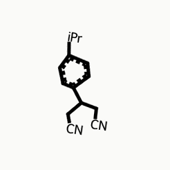 CC(C)c1ccc(C(CC#N)CC#N)cc1